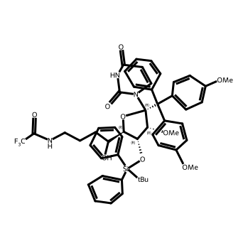 COc1ccc(C(c2ccccc2)(c2ccc(OC)cc2)[C@@]2(n3ccc(=O)[nH]c3=O)O[C@H](C(O)CCCNC(=O)C(F)(F)F)[C@@H](O[Si](c3ccccc3)(c3ccccc3)C(C)(C)C)[C@H]2OC)cc1